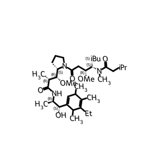 CCC1=C(C)C(C)C=C([C@H](O)[C@@H](C)NC(=O)[C@H](C)[C@@H](OC)[C@@H]2CCCN2C(=O)C[C@@H](OC)[C@H]([C@@H](C)CC)N(C)C(=O)CC(C)C)C1C